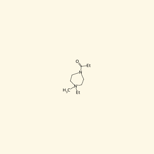 CCC(=O)N1CC[N+](C)(CC)CC1